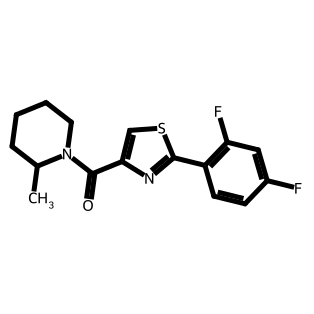 CC1CCCCN1C(=O)c1csc(-c2ccc(F)cc2F)n1